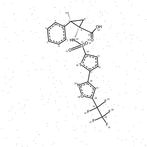 C[C@]1(c2ccccc2)C[C@@]1(NS(=O)(=O)c1ccc(-c2cc(C(F)(F)C(F)(F)F)on2)s1)C(=O)O